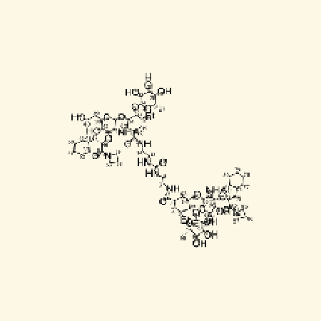 CC[C@H]1C[C@@H](C(=O)NCCNC(=O)NCCNC(=O)[C@@H]2C[C@H](CC)[C@@H](O[C@@H]3O[C@@H](C)[C@@H](O)[C@@H](O)[C@@H]3O)[C@H](O[C@@H]3O[C@H](CCO)[C@H](O)[C@H](O[C@@H](CC4CCCCC4)C(=O)N4CCC4)[C@H]3NC(C)=O)C2)C[C@@H](O[C@@H]2O[C@H](C)[C@H](O)[C@H](O[C@@H](CC3CCCCC3)C(=O)N3CCC3)[C@H]2NC(C)=O)[C@@H]1O[C@@H]1O[C@@H](C)[C@@H](O)[C@@H](O)[C@@H]1O